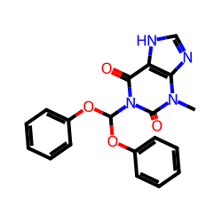 Cn1c(=O)n(C(Oc2ccccc2)Oc2ccccc2)c(=O)c2[nH]cnc21